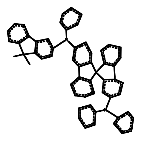 CC1(C)c2ccccc2-c2cc(N(c3ccccc3)c3ccc4c(c3)-c3ccccc3C43c4ccccc4-c4ccc(N(c5ccccc5)c5ccccc5)cc43)ccc21